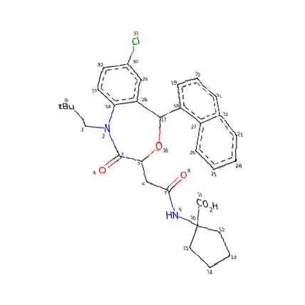 CC(C)(C)CN1C(=O)C(CC(=O)NC2(C(=O)O)CCCC2)OC(c2cccc3ccccc23)c2cc(Cl)ccc21